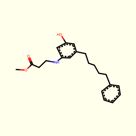 COC(=O)CCNc1cc(O)cc(CCCCCc2ccccc2)c1